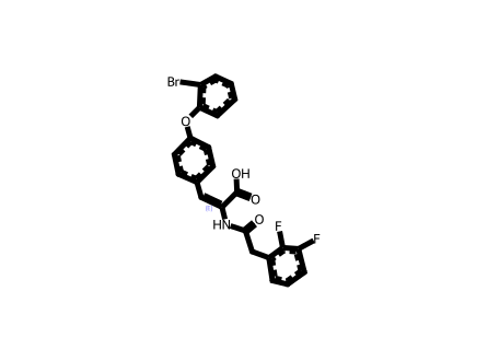 O=C(Cc1cccc(F)c1F)N/C(=C/c1ccc(Oc2ccccc2Br)cc1)C(=O)O